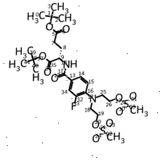 CC(C)(C)OC(=O)CC[C@H](NC(=O)c1ccc(N(CCOS(C)(=O)=O)CCOS(C)(=O)=O)c(F)c1)C(=O)OC(C)(C)C